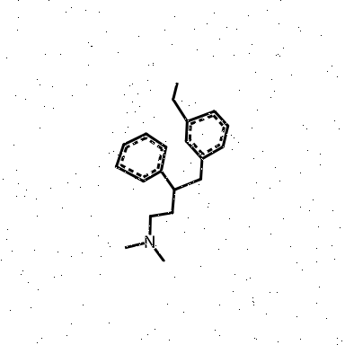 CCc1cccc(CC(CCN(C)C)c2ccccc2)c1